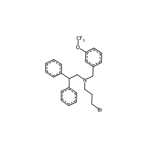 FC(F)(F)Oc1cccc(CN(CCCBr)CC(c2ccccc2)c2ccccc2)c1